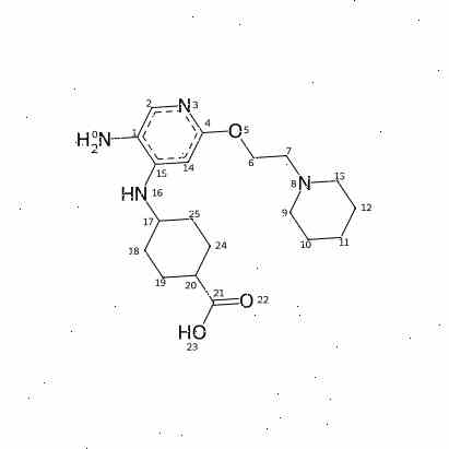 Nc1cnc(OCCN2CCCCC2)cc1NC1CCC(C(=O)O)CC1